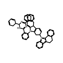 C1=CCC2CC3C(=CC2=C1)N(c1ccccc1C1=NC(c2ccccc2)=NC(C2C=CC=CC2)N1)C1=C3C=CC(n2c3c(c4ccccc42)CCc2ccccc2-3)C1